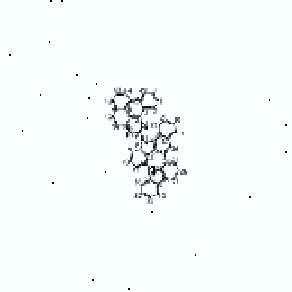 c1ccc(-c2nc(-n3c4cccc5c4c4c(cc6ccccc6c43)c3cccc4c6ccccc6n5c34)nc3ccc4ccccc4c23)cc1